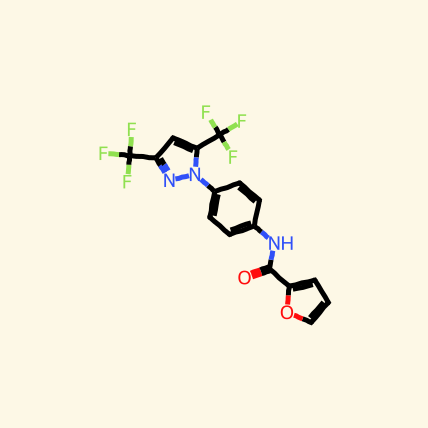 O=C(Nc1ccc(-n2nc(C(F)(F)F)cc2C(F)(F)F)cc1)c1ccco1